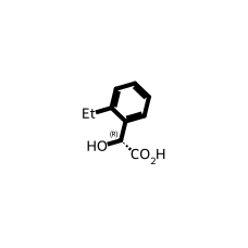 CCc1ccccc1[C@@H](O)C(=O)O